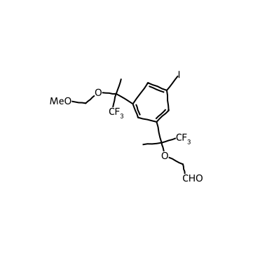 COCOC(C)(c1cc(I)cc(C(C)(OCC=O)C(F)(F)F)c1)C(F)(F)F